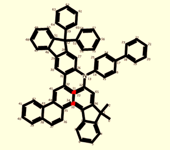 CC1(C)c2ccccc2-c2ccc(N(c3ccc(-c4ccccc4)cc3)c3cc4c(cc3-c3ccc5ccc6ccccc6c5c3)-c3ccccc3C4(c3ccccc3)c3ccccc3)cc21